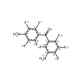 Nc1c(F)c(F)c(C(=O)c2c(F)c(N)c(F)c(F)c2F)c(F)c1F